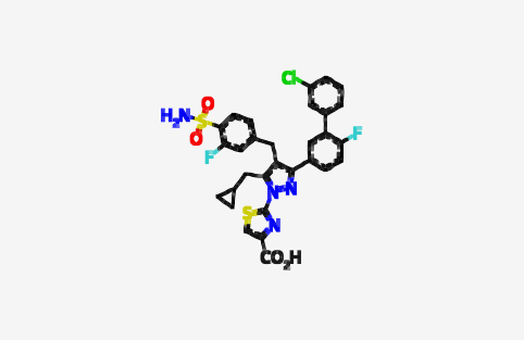 NS(=O)(=O)c1ccc(Cc2c(-c3ccc(F)c(-c4cccc(Cl)c4)c3)nn(-c3nc(C(=O)O)cs3)c2CC2CC2)cc1F